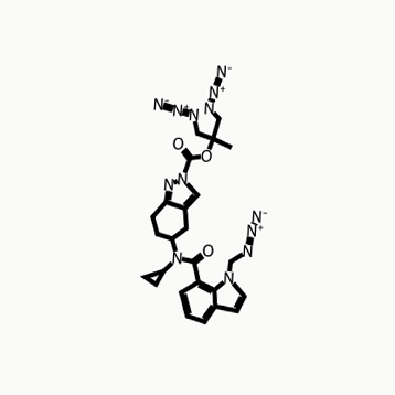 CC(CN=[N+]=[N-])(CN=[N+]=[N-])OC(=O)n1cc2c(n1)CCC(N(C(=O)c1cccc3ccn(CN=[N+]=[N-])c13)C1CC1)C2